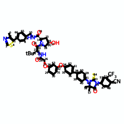 Cc1ncsc1-c1ccc(CNC(=O)[C@@H]2C[C@@H](O)CN2C(=O)[C@@H](NC(=O)COc2cccc(Oc3ccc(-c4ccc(N5C(=S)N(c6ccc(C#N)c(C(F)(F)F)c6)C(=O)C5(C)C)cc4)cc3)c2)C(C)(C)C)cc1